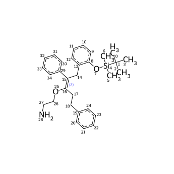 CC(C)(C)[Si](C)(C)Oc1ccccc1C/C(=C(\CCc1ccccc1)OCCN)c1ccccc1